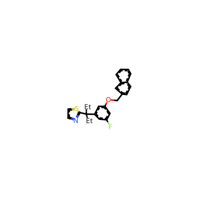 CCC(CC)(c1cc(F)cc(OCc2ccc3ccccc3c2)c1)c1nccs1